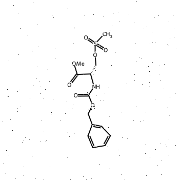 COC(=O)[C@H](COS(C)(=O)=O)NC(=O)OCc1ccccc1